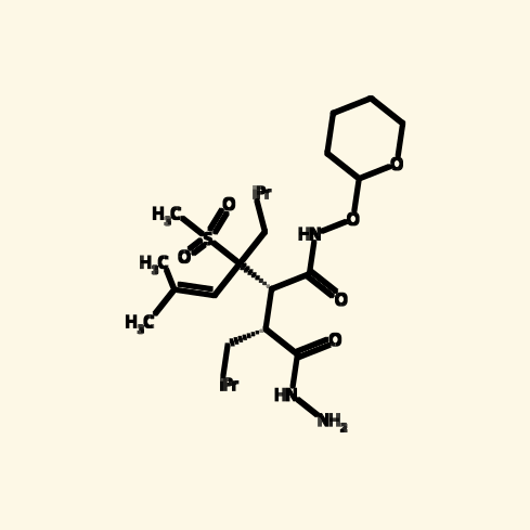 CC(C)=CC(CC(C)C)([C@H](C(=O)NOC1CCCCO1)[C@@H](CC(C)C)C(=O)NN)S(C)(=O)=O